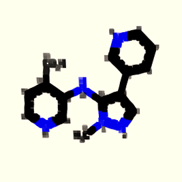 Cn1ncc(-c2cccnc2)c1Nc1cnccc1C(=O)O